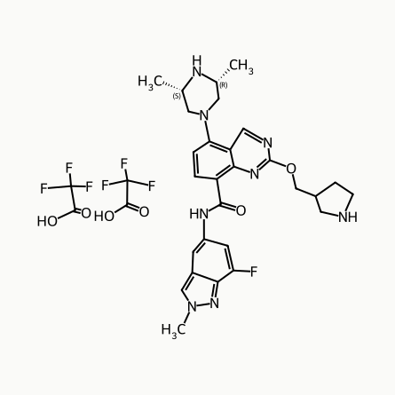 C[C@@H]1CN(c2ccc(C(=O)Nc3cc(F)c4nn(C)cc4c3)c3nc(OCC4CCNC4)ncc23)C[C@H](C)N1.O=C(O)C(F)(F)F.O=C(O)C(F)(F)F